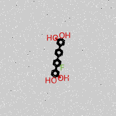 Oc1ccc(-c2ccc(-c3ccc(-c4ccc(O)c(O)c4)c(F)c3)cc2)cc1O